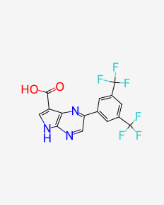 O=C(O)c1c[nH]c2ncc(-c3cc(C(F)(F)F)cc(C(F)(F)F)c3)nc12